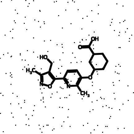 Cc1nc(-c2onc(C)c2CO)ccc1OC1CCCC(C(=O)O)C1